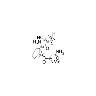 CN[C@@H](CC(N)=O)C(=O)OC12CC3CC(C1)CC([C@H](N)C(=O)N1[C@H](C#N)C[C@@H]4C[C@@H]41)(C3)C2